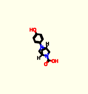 O=C(O)N1C[C@@H]2C[C@H]1CN2c1ccc(O)cc1